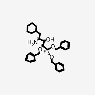 N[C@@H](CC1CCCCC1)[C@@H](O)[C@@H](OCc1ccccc1)[C@@H](COCc1ccccc1)OCc1ccccc1